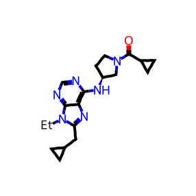 CCn1c(CC2CC2)nc2c(N[C@H]3CCN(C(=O)C4CC4)C3)ncnc21